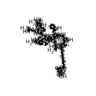 CC[C@@H](C)[C@H](NC(=O)[C@H](CCCNC(=N)N)NC(=O)[C@@H](CCCNC(=N)N)NC(=O)[C@H](Cc1ccccc1)NC(=O)[C@@H](CC(C)C)NC(=O)[C@H](CCCNC(=N)N)NC(=O)[C@@H](Cc1c[nH]c2ccccc12)NC(=O)CNC(=O)[C@@H](CO)NC(=O)[C@@H](NC(=O)CCOCCOCCOCCC(=O)ON1C(=O)CC(S(=O)(=O)O)C1=O)C(C)C)C(=O)N[C@@H](CO)C(N)=O